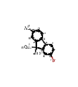 CCCCCCCCC1(CCCCCCCC)c2cc(Br)ccc2-c2ccc(C(C)=O)cc21